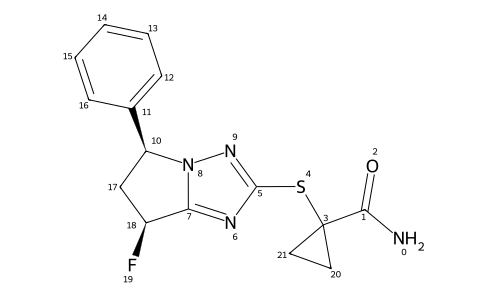 NC(=O)C1(Sc2nc3n(n2)[C@H](c2ccccc2)C[C@@H]3F)CC1